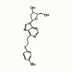 CC(C)(C)c1ccc(SCCc2ncnc3c2ncn3[C@H]2CC(O)[C@@H](CO)O2)cc1